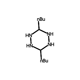 CCCCC1NNC(CCCC)NN1